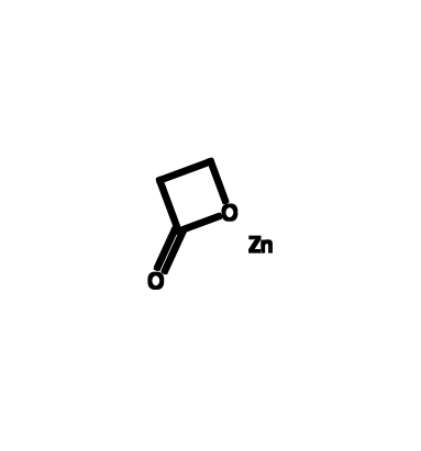 O=C1CCO1.[Zn]